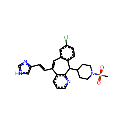 CS(=O)(=O)N1CCC(C2c3ccc(Cl)cc3C=C(/C=C/c3c[nH]cn3)c3cccnc32)CC1